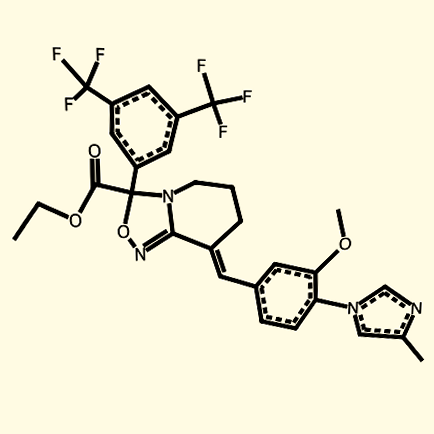 CCOC(=O)C1(c2cc(C(F)(F)F)cc(C(F)(F)F)c2)ON=C2/C(=C/c3ccc(-n4cnc(C)c4)c(OC)c3)CCCN21